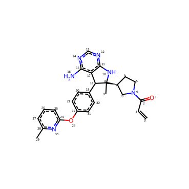 C=CC(=O)N1CC[C@H](C2(C)Nc3ncnc(N)c3C2c2ccc(Oc3cccc(C)n3)cc2)C1